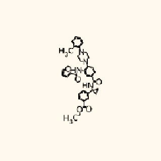 CCOC(=O)c1cccc(C2(NC(=O)c3ccc(N4CCN(c5ccccc5C)CC4)c(NC(=O)c4ccco4)c3)CC2)c1